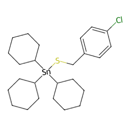 Clc1ccc(C[S][Sn]([CH]2CCCCC2)([CH]2CCCCC2)[CH]2CCCCC2)cc1